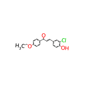 CCOc1ccc(C(=O)C=Cc2ccc(O)c(Cl)c2)cc1